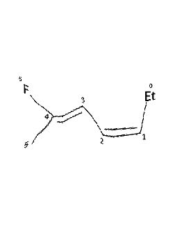 CC/C=C\C=C(/C)F